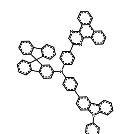 c1ccc(-n2c3ccccc3c3cc(-c4ccc(N(c5ccc(-c6cnc7c8ccccc8c8ccccc8c7n6)cc5)c5ccc6c(c5)C5(c7ccccc7-c7ccccc75)c5ccccc5-6)cc4)ccc32)cc1